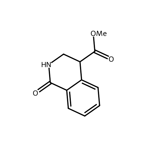 COC(=O)C1CNC(=O)c2ccccc21